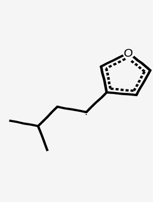 CC(C)C[CH]c1ccoc1